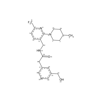 CC1CCN(c2nc(C(F)(F)F)ccc2CNC(=O)Cc2cncc(CO)c2)CC1